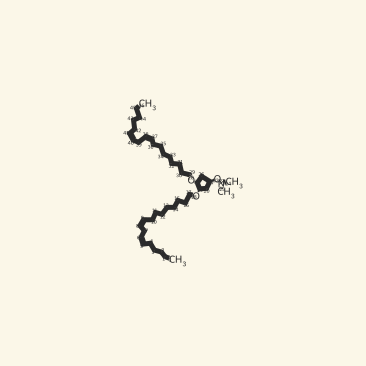 CCCCC/C=C\C/C=C\CCCCCCCCO[C@H]1C[C@H](ON(C)C)C[C@H]1OCCCCCCCC/C=C\C/C=C\CCCCC